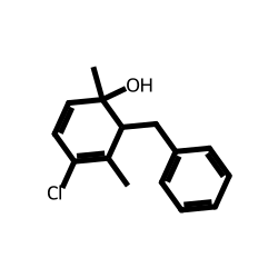 CC1=C(Cl)C=CC(C)(O)C1Cc1ccccc1